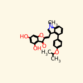 CC(C)Oc1ccc(-c2cccc3c2c(C=C2Oc4cc(O)cc(O)c4C2=O)cn3C)cc1